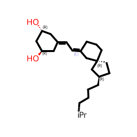 CC(C)CCCC[C@@H]1CC[C@]2(CCC/C(=C\C=C3C[C@@H](O)C[C@H](O)C3)C2)C1